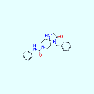 O=C(Nc1ccccc1)N1CCC2(CC1)NCC(=O)N2Cc1ccccc1